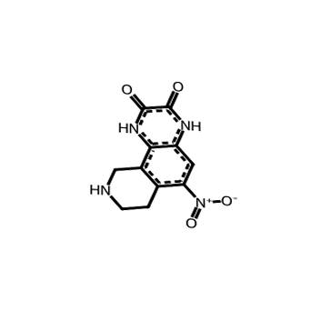 O=c1[nH]c2cc([N+](=O)[O-])c3c(c2[nH]c1=O)CNCC3